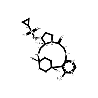 Cc1ncnc2c1[C@H]1CC[C@H](CC1)OC[C@H]1[C@@H](NS(=O)(=O)C3CC3)CCN1C(=O)CO2